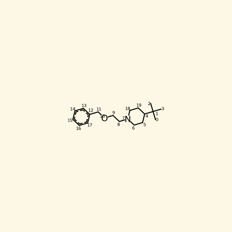 CC(C)(C)C1CCN(CCOCc2ccccc2)CC1